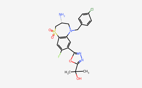 CC(C)(O)c1nnc(-c2cc3c(cc2F)S(=O)(=O)C[C@H](N)CN3Cc2ccc(Cl)cc2)o1